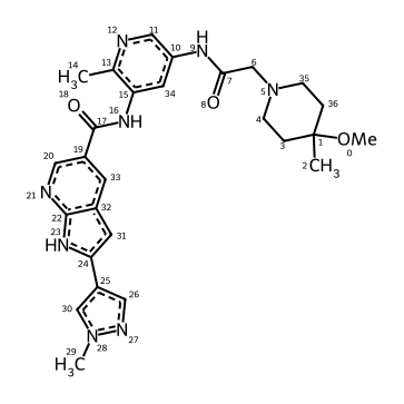 COC1(C)CCN(CC(=O)Nc2cnc(C)c(NC(=O)c3cnc4[nH]c(-c5cnn(C)c5)cc4c3)c2)CC1